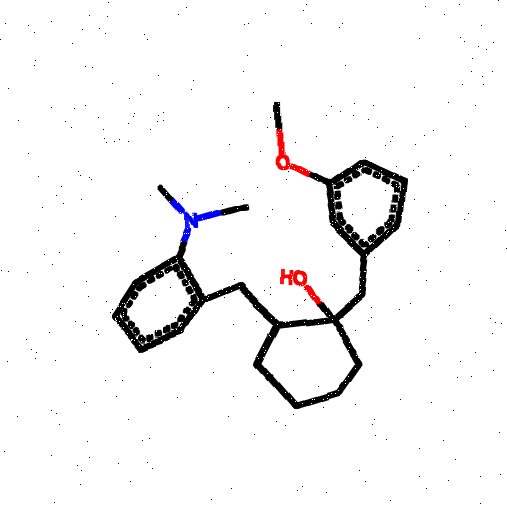 COc1cccc(CC2(O)CCCCC2Cc2ccccc2N(C)C)c1